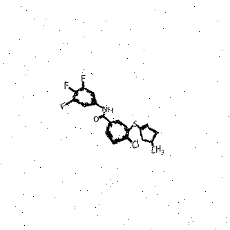 CC1CC=C(Sc2cc(C(=O)Nc3cc(F)c(F)c(F)c3)ccc2Cl)C1